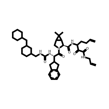 C=CCCC(NC(=O)[C@@H]1C2C(CN1C(=O)[C@@H](NC(=O)NCC1CCCC(CC3CCCCC3)C1)C1Cc3ccccc3C1)C2(C)C)C(=O)C(=O)NCC=C